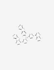 c1cc(-c2cccc3c2sc2ccccc23)cc(N(c2ccc(-c3cccc4ccccc34)cc2)c2ccc3c(c2)sc2ccccc23)c1